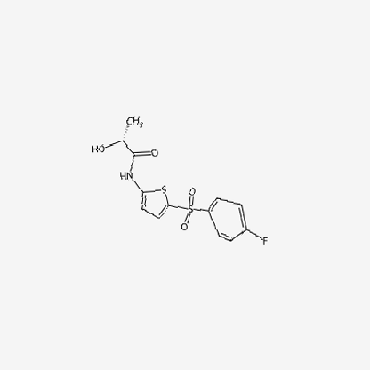 C[C@@H](O)C(=O)Nc1ccc(S(=O)(=O)c2ccc(F)cc2)s1